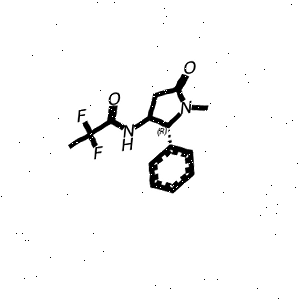 CN1C(=O)CC(NC(=O)C(C)(F)F)[C@H]1c1ccccc1